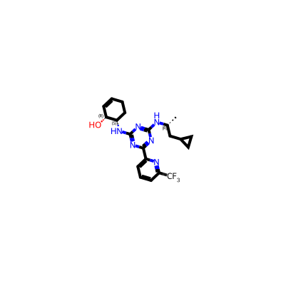 C[C@H](CC1CC1)Nc1nc(N[C@H]2CCC=C[C@H]2O)nc(-c2cccc(C(F)(F)F)n2)n1